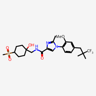 COc1cc(CC(C)(C)C(F)(F)F)ccc1-n1cc(C(=O)NCC2(O)CCC(S(C)(=O)=O)CC2)nc1C